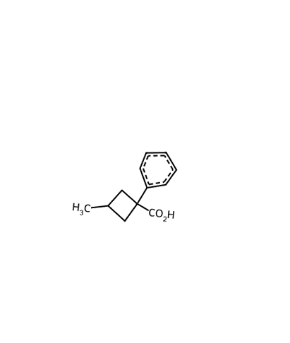 CC1CC(C(=O)O)(c2ccccc2)C1